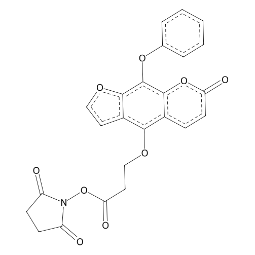 O=C(CCOc1c2ccoc2c(Oc2ccccc2)c2oc(=O)ccc12)ON1C(=O)CCC1=O